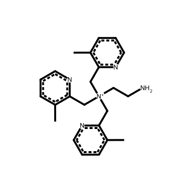 Cc1cccnc1C[N+](CCN)(Cc1ncccc1C)Cc1ncccc1C